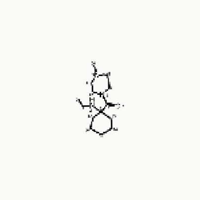 CCNC1(C(=O)N2CCN(C)CC2)CCCCC1